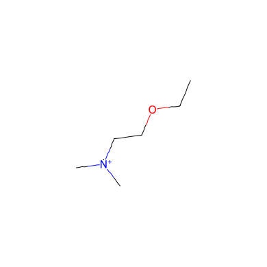 CCOCC[N+](C)C